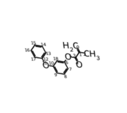 C=C(C)C(=O)Oc1cccc(Oc2ccccc2)c1